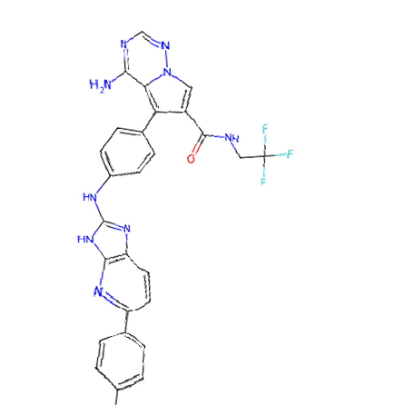 Cc1ccc(-c2ccc3nc(Nc4ccc(-c5c(C(=O)NCC(F)(F)F)cn6ncnc(N)c56)cc4)[nH]c3n2)cc1